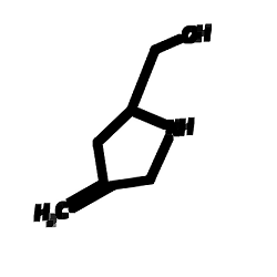 C=C1CNC(CO)C1